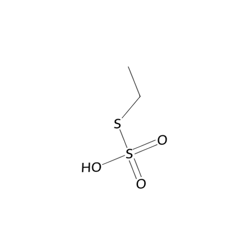 CCSS(=O)(=O)O